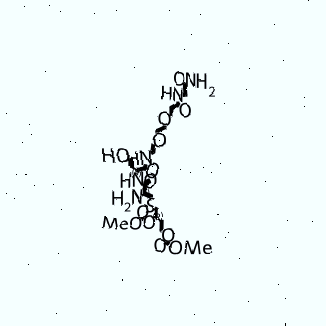 COC(=O)OCC[C@H](CSC[C@H](N)C(=O)N[C@@H](CCO)C(=O)NCCOCCOCCC(=O)NCC(N)=O)OC(=O)OC